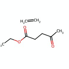 C=C.CCOC(=O)CCC(C)=O